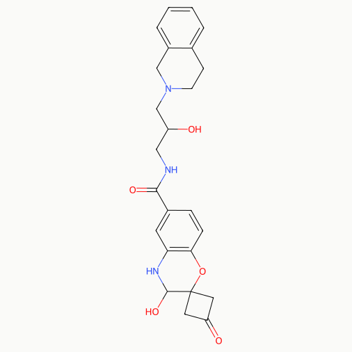 O=C1CC2(C1)Oc1ccc(C(=O)NCC(O)CN3CCc4ccccc4C3)cc1NC2O